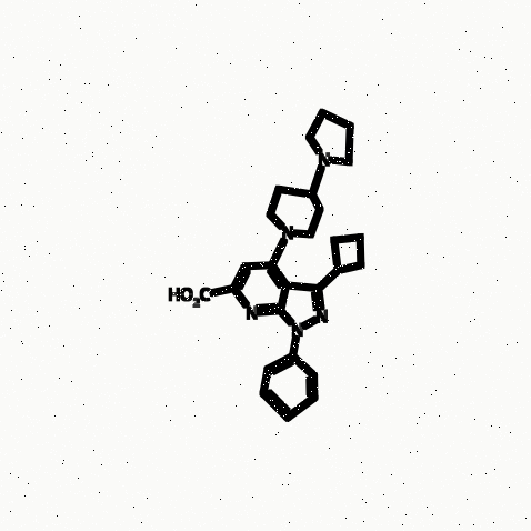 O=C(O)c1cc(N2CCC(N3CCCC3)CC2)c2c(C3CCC3)nn(-c3ccccc3)c2n1